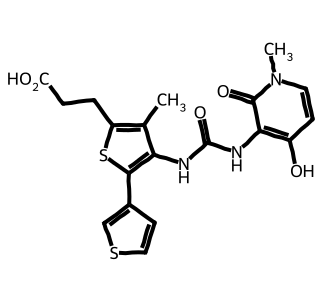 Cc1c(CCC(=O)O)sc(-c2ccsc2)c1NC(=O)Nc1c(O)ccn(C)c1=O